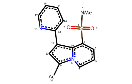 CNS(=O)(=O)c1cccn2c(C(C)=O)cc(-c3ccccn3)c12